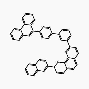 C1=CC(c2ccc3ccccc3c2)Nc2c1ccc1ccc(-c3cccc(-c4ccc(-c5cc6ccccc6c6ccccc56)cc4)c3)nc21